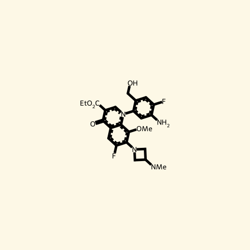 CCOC(=O)c1cn(-c2cc(N)c(F)cc2CO)c2c(OC)c(N3CC(NC)C3)c(F)cc2c1=O